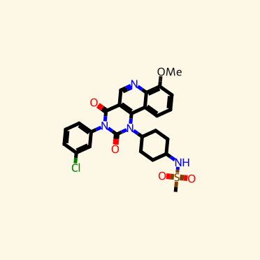 COc1cccc2c1ncc1c(=O)n(-c3cccc(Cl)c3)c(=O)n(C3CCC(NS(C)(=O)=O)CC3)c12